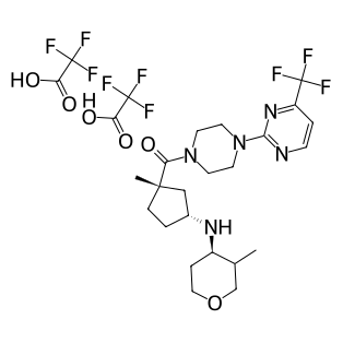 CC1COCC[C@H]1N[C@@H]1CC[C@](C)(C(=O)N2CCN(c3nccc(C(F)(F)F)n3)CC2)C1.O=C(O)C(F)(F)F.O=C(O)C(F)(F)F